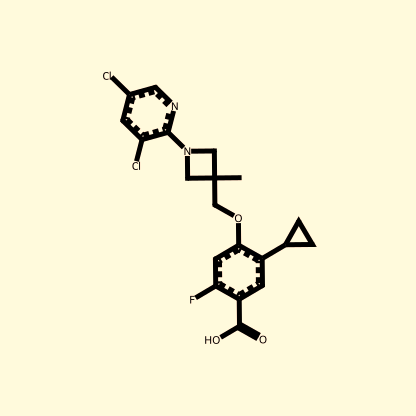 CC1(COc2cc(F)c(C(=O)O)cc2C2CC2)CN(c2ncc(Cl)cc2Cl)C1